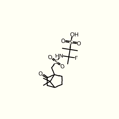 CC(F)(NS(=O)(=O)CC12CCC(CC1=O)C2(C)C)C(C)(C)S(=O)(=O)O